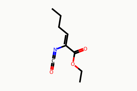 CCCC=C(N=C=O)C(=O)OCC